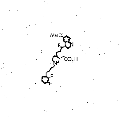 COc1ccc2nccc([C@H](F)CC[C@@H]3CCN(CCCCc4cccc(F)c4F)C[C@@H]3CC(=O)O)c2c1